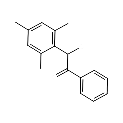 Cc1cc(C)c(C([O])C(=O)c2ccccc2)c(C)c1